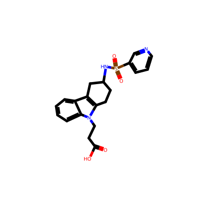 O=C(O)CCn1c2c(c3ccccc31)CC(NS(=O)(=O)c1cccnc1)CC2